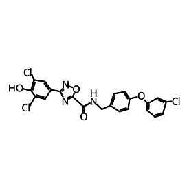 O=C(NCc1ccc(Oc2cccc(Cl)c2)cc1)c1nc(-c2cc(Cl)c(O)c(Cl)c2)no1